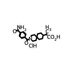 CC(C(=O)O)C1CCC2(CC1)CCN(C(=O)c1ccc(C(N)=O)cc1)CC2.Cl